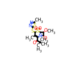 COC1C(=O)N2C(C(=O)C(C)(C)C)=C(C)C(Sc3nnc(C)s3)S(=O)(=O)C12